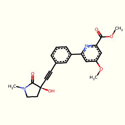 COC(=O)c1cc(OC)cc(-c2cccc(C#C[C@]3(O)CCN(C)C3=O)c2)n1